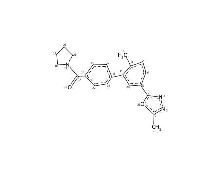 Cc1nnc(-c2ccc(C)c(-c3ccc(C(=O)N4CCCC4)cc3)c2)o1